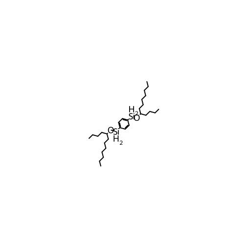 CCCCCCCC(CCCC)O[SiH2]c1ccc([SiH2]OC(CCCC)CCCCCCC)cc1